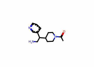 CC(=O)N1CCC(C(CN)c2cccnc2)CC1